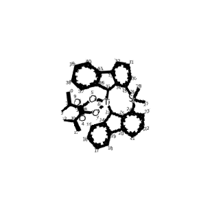 C=C(C)C(=O)[O][Ti]1([O]C(=O)C(=C)C)[CH]2c3ccccc3-c3cccc(c32)[Si](C)(C)c2cccc3c2[CH]1c1ccccc1-3